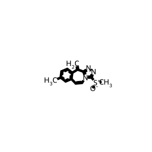 C=C1c2ccc(C)cc2C=Cn2c1nnc2[S+](C)[O-]